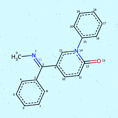 C/N=C(\c1ccccc1)c1ccc(=O)n(-c2ccccc2)c1